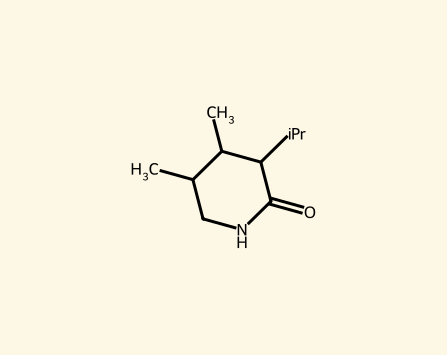 CC(C)C1C(=O)NCC(C)C1C